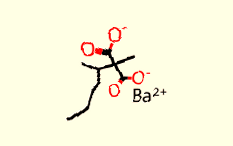 CCCCC(C)C(C)(C(=O)[O-])C(=O)[O-].[Ba+2]